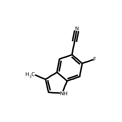 Cc1c[nH]c2cc(F)c(C#N)cc12